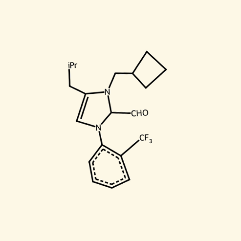 CC(C)CC1=CN(c2ccccc2C(F)(F)F)C(C=O)N1CC1CCC1